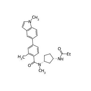 CCC(=O)N[C@H]1CC[C@@H](N(C)C(=O)c2ccc(-c3ccc4c(ccn4C)c3)cc2C)C1